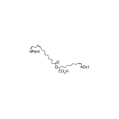 CCCCC/C=C\C/C=C\CCCCCCCC(=O)OC(CCCCCC/C=C\CCCCCCCC)C(=O)O